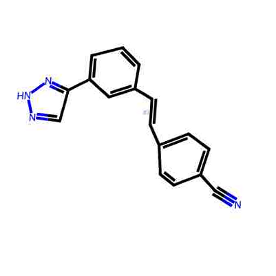 N#Cc1ccc(/C=C/c2cccc(-c3cn[nH]n3)c2)cc1